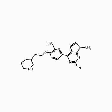 Cc1cc(-c2nc(C#N)nc3c2ccn3C)cnc1OCCC1CCCNC1